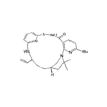 C=CC1CC[C@@H]2CN(c3nc(C(C)(C)C)ccc3C(=O)NSc3cccc(n3)N1)C(C)(C)C2